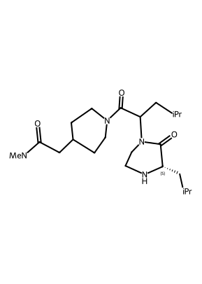 CNC(=O)CC1CCN(C(=O)C(CC(C)C)N2CCN[C@@H](CC(C)C)C2=O)CC1